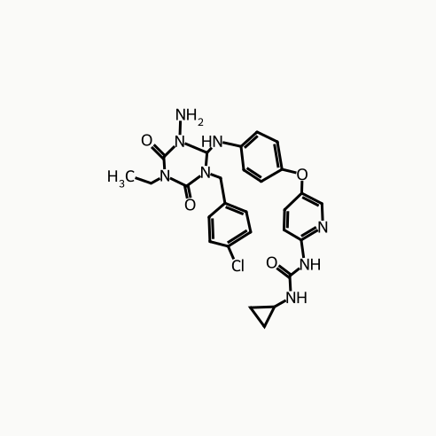 CCN1C(=O)N(N)C(Nc2ccc(Oc3ccc(NC(=O)NC4CC4)nc3)cc2)N(Cc2ccc(Cl)cc2)C1=O